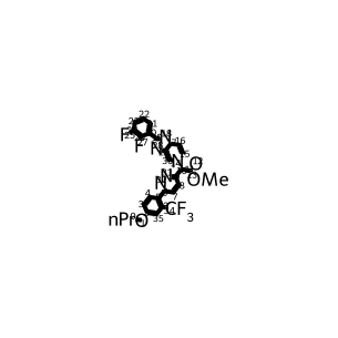 CCCOc1ccc(-c2ccc(C(C(=O)OC)n3ccc4nc(-c5cccc(F)c5F)nc-4c3)nn2)c(C(F)(F)F)c1